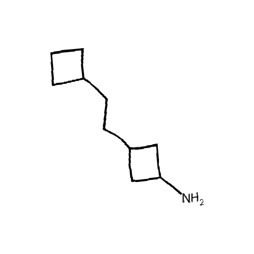 NC1CC(CCC2CCC2)C1